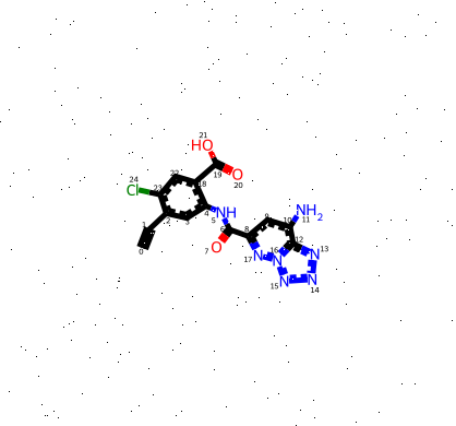 C#Cc1cc(NC(=O)c2cc(N)c3nnnn3n2)c(C(=O)O)cc1Cl